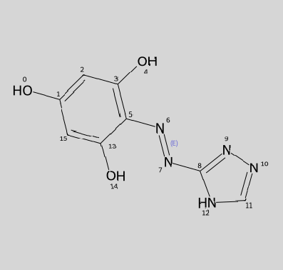 Oc1cc(O)c(/N=N/c2nnc[nH]2)c(O)c1